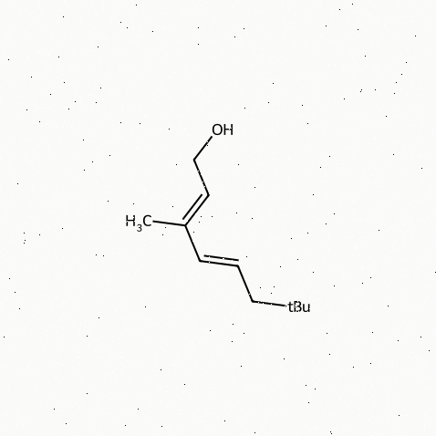 CC(C=CCC(C)(C)C)=CCO